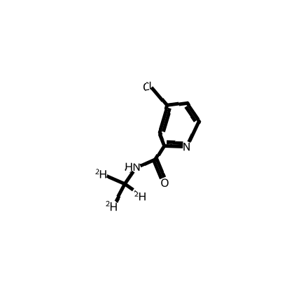 [2H]C([2H])([2H])NC(=O)c1cc(Cl)ccn1